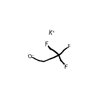 [K+].[O-]CC(F)(F)F